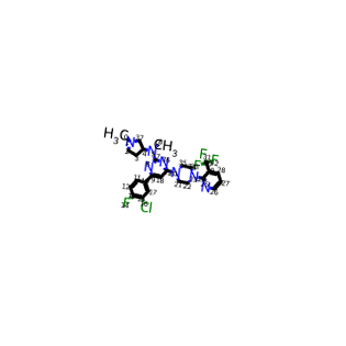 CN1CCC(N(C)c2nc(-c3ccc(F)c(Cl)c3)cc(N3CCN(c4ncccc4C(F)(F)F)CC3)n2)C1